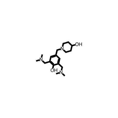 CN(C)Cc1cc(CN2CCC(O)CC2)cc(CN(C)C)c1O